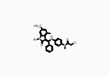 CC(=O)N1C(=O)C(=C(Nc2ccc(N(C)C(=O)CCl)cc2)c2ccccc2)c2c(C)cc(C(=O)O)cc21